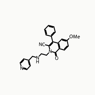 COc1ccc2c(=O)n(CCNCc3ccncc3)c(C#N)c(-c3ccccc3)c2c1